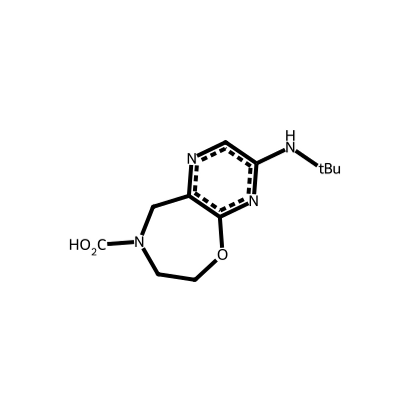 CC(C)(C)Nc1cnc2c(n1)OCCN(C(=O)O)C2